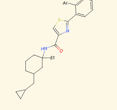 CCC1(NC(=O)c2csc(-c3ccccc3C(C)=O)n2)CCCC(CC2CC2)C1